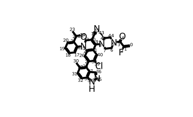 C=C(F)C(=O)N1CCN(c2c(C#N)c(=O)n(-c3ccccc3C(C)C)c3cc(-c4c(C)ccc5[nH]ncc45)c(Cl)cc23)[C@@H](C)C1